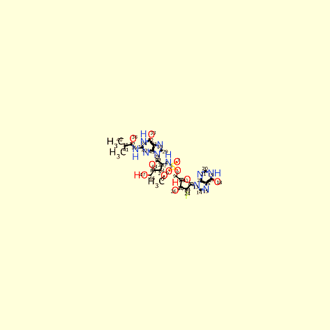 CO[C@H]1[C@@H](NS(=O)(=O)OC[C@H]2O[C@@H](n3cnc4c(=O)[nH]cnc43)[C@H](F)[C@@H]2O)[C@H](n2cnc3c(=O)[nH]c(NC(=O)C(C)C)nc32)O[C@@H]1CO